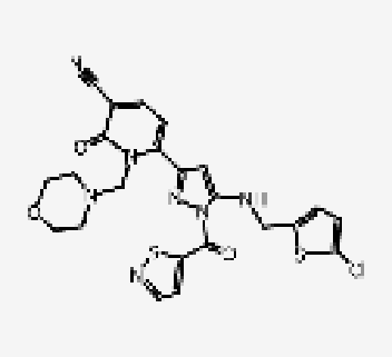 N#Cc1ccc(-c2cc(NCc3ccc(Cl)s3)n(C(=O)c3ccns3)n2)n(CN2CCOCC2)c1=O